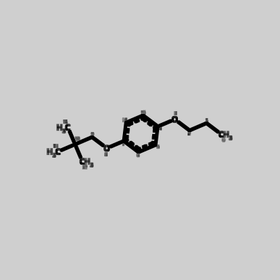 CCCOc1ccc(OCC(C)(C)C)cc1